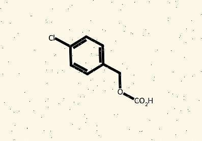 O=C(O)OCc1ccc(Cl)cc1